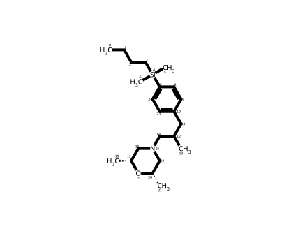 CCCC[Si](C)(C)c1ccc(CC(C)CN2C[C@@H](C)O[C@@H](C)C2)cc1